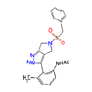 CC(=O)Nc1cccc(C)c1-c1[nH]nc2c1CN(S(=O)(=O)Cc1ccccc1)C2